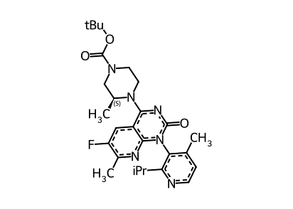 Cc1ccnc(C(C)C)c1-n1c(=O)nc(N2CCN(C(=O)OC(C)(C)C)C[C@@H]2C)c2cc(F)c(C)nc21